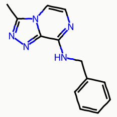 Cc1nnc2c(NCc3ccccc3)nccn12